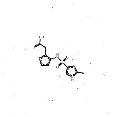 Cc1nc(S(=O)(=O)Nc2ccsc2CC(=O)O)c[nH]1